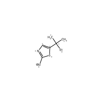 CCC(C)(C)c1cnc(C(C)(C)C)s1